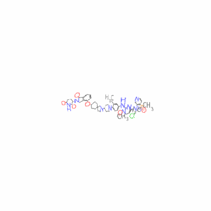 CCc1cc(Nc2ncc(Cl)c(Nc3cnccc3P(C)(C)=O)n2)c(OC)cc1N1CCC(N2CCC3(CCC(Oc4cccc5c4CN(C4CCC(=O)NC4=O)C5=O)CC3)C2)CC1